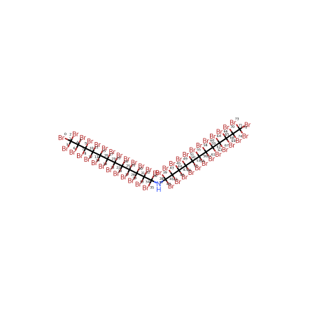 BrC(Br)(Br)C(Br)(Br)C(Br)(Br)C(Br)(Br)C(Br)(Br)C(Br)(Br)C(Br)(Br)C(Br)(Br)C(Br)(Br)C(Br)(Br)C(Br)(Br)C(Br)(Br)NC(Br)(Br)C(Br)(Br)C(Br)(Br)C(Br)(Br)C(Br)(Br)C(Br)(Br)C(Br)(Br)C(Br)(Br)C(Br)(Br)C(Br)(Br)C(Br)(Br)C(Br)(Br)Br